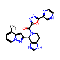 O=C(c1nnc(-c2cnccn2)o1)N1CCc2[nH]cnc2[C@@H]1c1cc2c(C(F)(F)F)cccn2n1